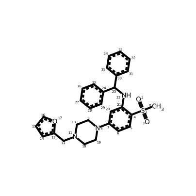 CS(=O)(=O)c1ccc(N2CCN(Cc3ccco3)CC2)cc1NC(c1ccccc1)c1ccccc1